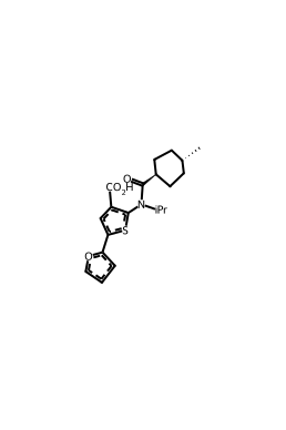 CC(C)N(c1sc(-c2ccco2)cc1C(=O)O)C(=O)[C@H]1CC[C@H](C)CC1